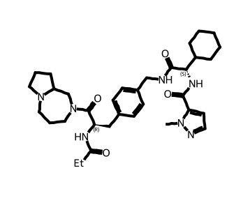 CCC(=O)N[C@H](Cc1ccc(CNC(=O)[C@@H](NC(=O)c2ccnn2C)C2CCCCC2)cc1)C(=O)N1CCCN2CCCC2C1